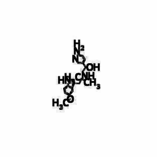 COc1ccc2[nH]cc(CC(C)(C)NC[C@H](O)c3ccc(N)nc3)c2c1